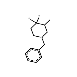 CC1CN(Cc2ccccc2)CCC1(F)F